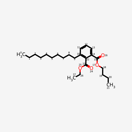 CCCCCCCCCCc1cccc(C(=O)OCCCC)c1C(=O)OCC